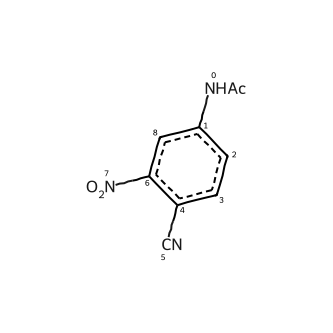 CC(=O)Nc1ccc(C#N)c([N+](=O)[O-])c1